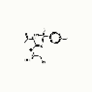 C=C(C)[C@H](NS(=O)(=O)c1ccc(F)cc1)C(=O)N[C@H](C=O)CC(C)C